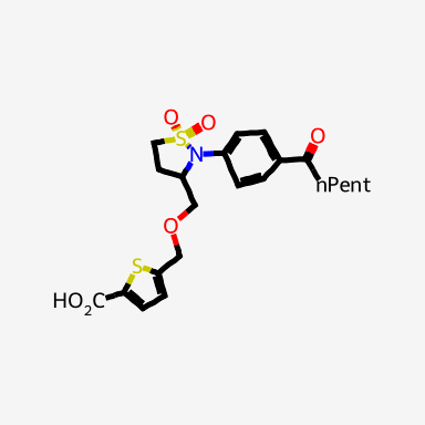 CCCCCC(=O)c1ccc(N2C(COCc3ccc(C(=O)O)s3)CCS2(=O)=O)cc1